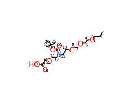 CCCOCCOCCOCCN(CCOCC(=O)O)C(=O)OC(C)(C)C